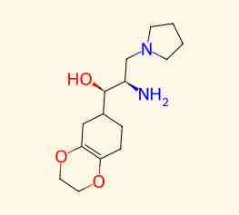 N[C@H](CN1CCCC1)[C@H](O)C1CCC2=C(C1)OCCO2